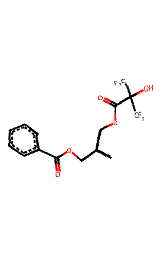 CC(COC(=O)c1ccccc1)COC(=O)C(O)(C(F)(F)F)C(F)(F)F